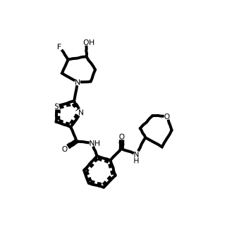 O=C(Nc1ccccc1C(=O)NC1CCOCC1)c1csc(N2CCC(O)C(F)C2)n1